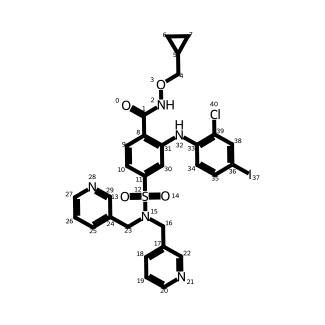 O=C(NOCC1CC1)c1ccc(S(=O)(=O)N(Cc2cccnc2)Cc2cccnc2)cc1Nc1ccc(I)cc1Cl